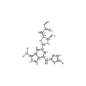 C=CC(=O)N[C@@H]1CN(c2nc(Nc3cnn(C)c3)c3ncn(C(C)C)c3n2)C[C@@H]1F